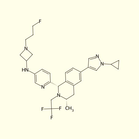 C[C@H]1Cc2cc(-c3cnn(C4CC4)c3)ccc2[C@@H](c2ccc(NC3CN(CCCF)C3)cn2)N1CC(F)(F)F